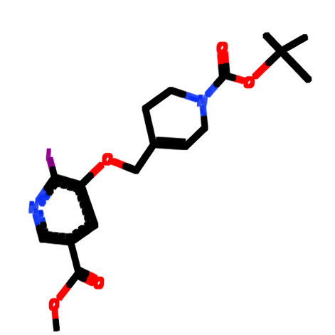 COC(=O)c1cnc(I)c(OCC2=CCN(C(=O)OC(C)(C)C)CC2)c1